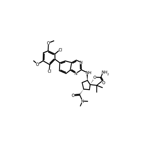 COc1cc(OC)c(Cl)c(-c2ccc3nc(N[C@@H]4C[C@@H](C(=O)N(C)C)C[C@]4(OC(N)=O)C(C)(C)C)ncc3c2)c1Cl